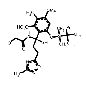 COc1cc(O[Si](C)(C)C(C)(C)C(C)C)c([C@](S)(CCc2nc(C)no2)NC(=O)CO)c(C(=O)O)c1C